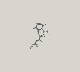 COC(=O)CC(C)C(=O)/N=c1/c(C)ncc(C)n1N